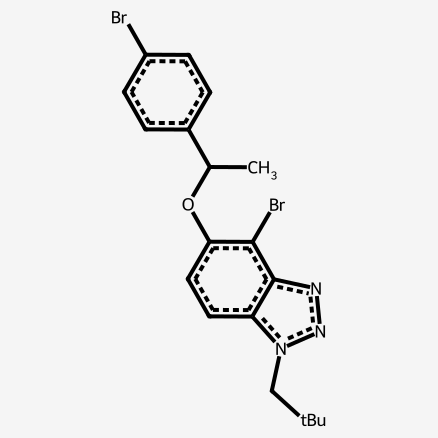 CC(Oc1ccc2c(nnn2CC(C)(C)C)c1Br)c1ccc(Br)cc1